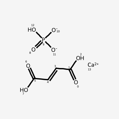 O=C(O)C=CC(=O)O.O=P([O-])([O-])O.[Ca+2]